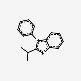 CC(C)c1nc2ccccc2n1-c1ccccc1